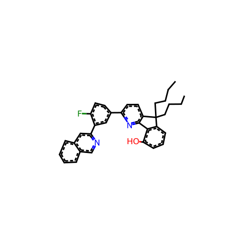 CCCCC1(CCCC)c2ccc(-c3ccc(F)c(-c4cc5ccccc5cn4)c3)nc2-c2c(O)cccc21